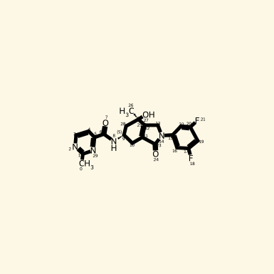 Cc1nccc(C(=O)N[C@H]2CC3=C(CN(c4cc(F)cc(F)c4)C3=O)[C@](C)(O)C2)n1